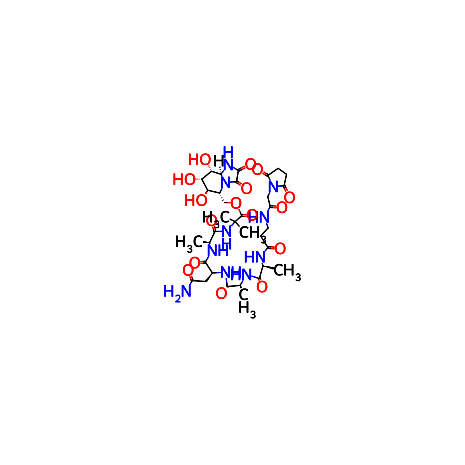 C[C@H](NC(=O)CCNC(=O)CN1C(=O)CCC1=O)C(=O)N[C@@H](C)C(=O)N[C@@H](CC(N)=O)C(=O)N[C@@H](C)C(=O)NC(C)(C)C(=O)OC[C@@H]1[C@@H](O)[C@H](O)[C@H](O)[C@H]2NC(=O)C(=O)N12